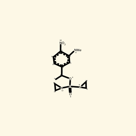 CNc1cc(C(C)OP(=O)(N2CC2)N2CC2)ccc1[N+](=O)[O-]